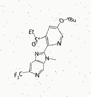 CC[S+]([O-])c1cc(OC(C)(C)C)cnc1-c1nc2cc(C(F)(F)F)ncc2n1C